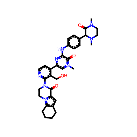 CN1CCN(C)C(c2ccc(Nc3nc(-c4ccnc(N5CCn6c(cc7c6CCCC7)C5=O)c4CO)cn(C)c3=O)cc2)C1=O